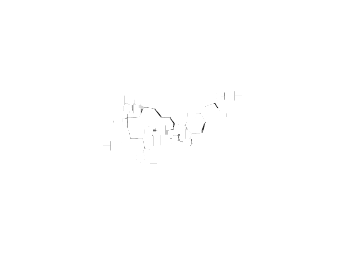 COC(=O)C[C@H]1C=C[C@@H](OC)[C@@H](/C(C)=C/C=C/[C@@H](C)C[C@@]2(C)O[C@@H]2[C@H](C)[C@@H](OC)[C@@H](C)O)O1